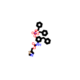 O=C(Nc1cc(Cc2ccccc2)cc(OP(=O)(OCc2ccccc2)OCc2ccccc2)c1)OCc1cncs1